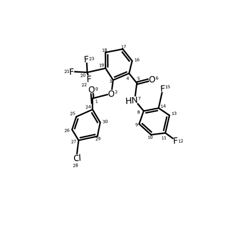 O=C(Oc1c(C(=O)Nc2ccc(F)cc2F)cccc1C(F)(F)F)c1ccc(Cl)cc1